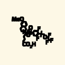 COc1ccc2c(c1)CCN(C(=O)CCCC(=O)O)[C@H]2C(=O)Nc1cc(F)c(C(C)(C)COC(F)C(F)F)c(F)c1